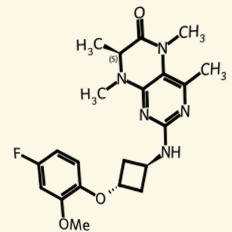 COc1cc(F)ccc1O[C@H]1C[C@H](Nc2nc(C)c3c(n2)N(C)[C@@H](C)C(=O)N3C)C1